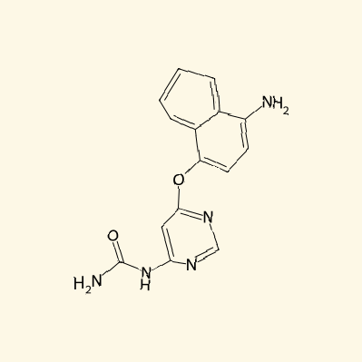 NC(=O)Nc1cc(Oc2ccc(N)c3ccccc23)ncn1